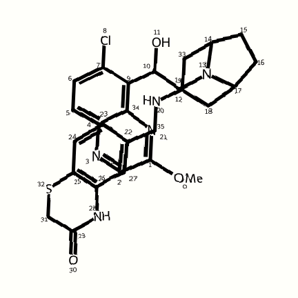 COc1cnc2ccc(Cl)c(C(O)CN3C4CCC3CC(NCc3ccc5c(c3)NC(=O)CS5)C4)c2n1